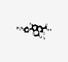 C[C@H]1COc2c(N3CC[C@H](N)C3)c(F)cc3cc(C(=O)O)c(=O)n1c23